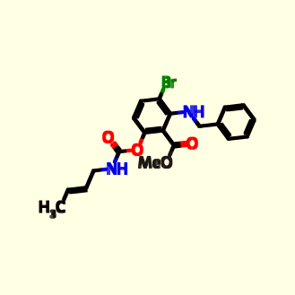 CC=CCNC(=O)Oc1ccc(Br)c(NCc2ccccc2)c1C(=O)OC